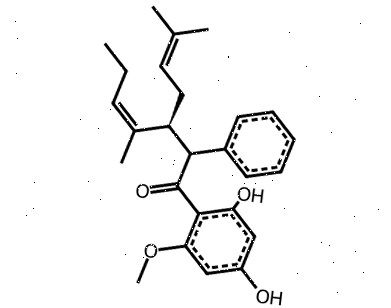 CC/C=C(/C)[C@@H](CC=C(C)C)C(C(=O)c1c(O)cc(O)cc1OC)c1ccccc1